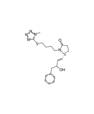 Cn1nnnc1SCCCCN1C(=O)CC[C@@H]1C=CC(O)Cc1ccccc1